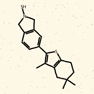 Cc1c(-c2ccc3c(c2)CN(S)C3)sc2c1CC(C)(C)CC2